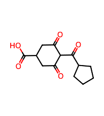 O=C(O)C1CC(=O)C(C(=O)C2CCCC2)C(=O)C1